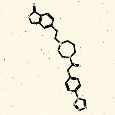 O=C1OCc2cc(CCN3CCCN(C(=O)Cc4ccc(-n5cnnn5)cc4)CC3)ccc21